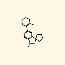 CC1=C(c2ccc3c(c2)C2(CCCC2)CN3C)CCCC1